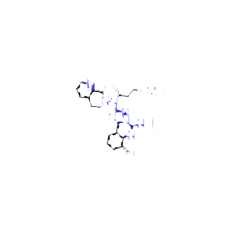 CSCC[C@@H](C(=O)O)N(c1nc2c3cccc(Br)c3nc(N)n2n1)N1CCc2cccnc2C1